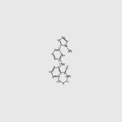 CC(C)n1cnnc1-c1cccc(Nc2cccc3c2C(=O)NCCO3)n1